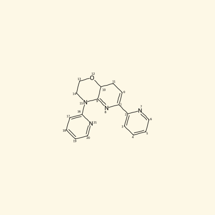 C1=C(c2ccccn2)N=C2C(C1)OCCN2c1ccccn1